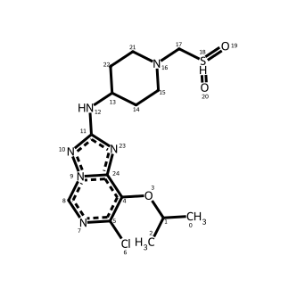 CC(C)Oc1c(Cl)ncn2nc(NC3CCN(C[SH](=O)=O)CC3)nc12